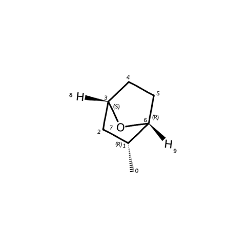 C[C@@H]1C[C@@H]2CC[C@H]1O2